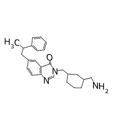 CC(Cc1ccc2ncn(CC3CCCC(CN)C3)c(=O)c2c1)c1ccccc1